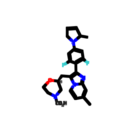 Cc1ccn2c(C[C@H]3CN(C(=O)O)CCO3)c(-c3c(F)cc(N4CC=CC4C)cc3F)nc2c1